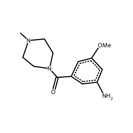 COc1cc(N)cc(C(=O)N2CCN(C)CC2)c1